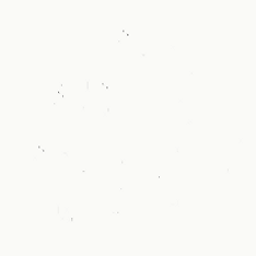 Nc1ccc(-c2ccccc2)cc1N.Nc1ccc(-c2ccccc2)cc1N.O